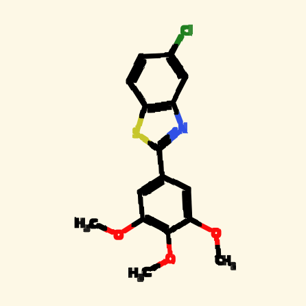 COc1cc(-c2nc3cc(Cl)ccc3s2)cc(OC)c1OC